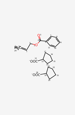 C=CCOC(=O)c1ccccc1.O=C([O-])C1CCCC1.O=C([O-])C1CCCC1.[Pb+2]